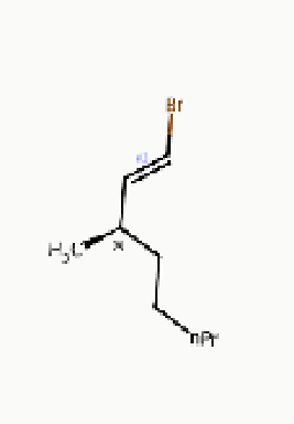 CCCCC[C@@H](C)/C=C/Br